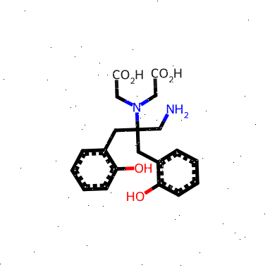 NCC(Cc1ccccc1O)(Cc1ccccc1O)N(CC(=O)O)CC(=O)O